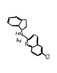 Clc1ccc2nc(N[C@@H]3CCc4ccccc43)ccc2c1.[Ar]